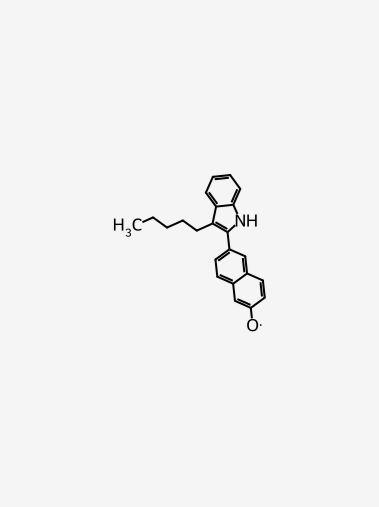 CCCCCc1c(-c2ccc3cc([O])ccc3c2)[nH]c2ccccc12